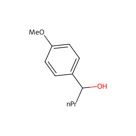 CCCC(O)c1ccc(OC)cc1